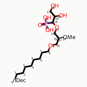 CCCCCCCCCCCCCCCCCCOC[C@@H](COC(C(O)CO)P(=O)(O)O)OC